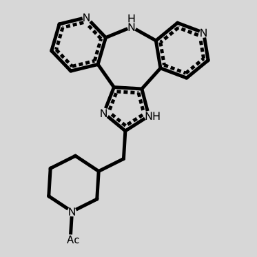 CC(=O)N1CCCC(Cc2nc3c([nH]2)-c2ccncc2Nc2ncccc2-3)C1